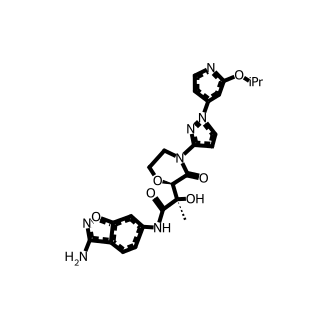 CC(C)Oc1cc(-n2ccc(N3CCO[C@H]([C@@](C)(O)C(=O)Nc4ccc5c(N)noc5c4)C3=O)n2)ccn1